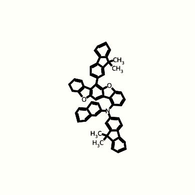 CC1(C)c2ccccc2-c2ccc(-c3c4oc5cccc(N(c6ccc7c(c6)C(C)(C)c6ccccc6-7)c6ccc7ccccc7c6)c5c4cc4oc5c(c34)C=CCC5)cc21